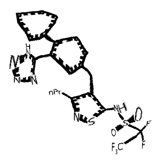 CCCc1nsc(NS(=O)(=O)C(F)(F)C(F)(F)F)c1Cc1ccc(-c2ccccc2)c(-c2nnn[nH]2)c1